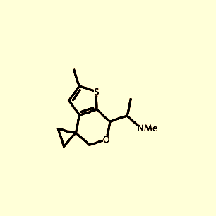 CNC(C)C1OCC2(CC2)c2cc(C)sc21